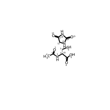 CC(=O)N[C@H](CS)C(=O)O.O=C1CNC(=O)N1